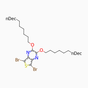 CCCCCCCCCCCCCCCCOc1nc2c(Br)sc(Br)c2nc1OCCCCCCCCCCCCCCCC